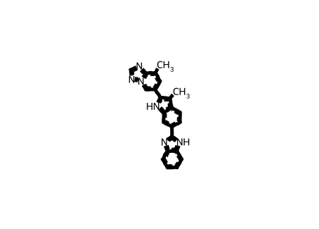 Cc1c(-c2cc(C)c3ncnn3c2)[nH]c2cc(-c3nc4ccccc4[nH]3)ccc12